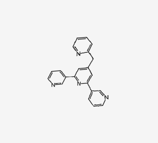 c1ccc(Cc2cc(-c3cccnc3)nc(-c3cccnc3)c2)nc1